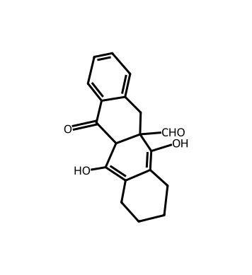 O=CC12Cc3ccccc3C(=O)C1C(O)=C1CCCCC1=C2O